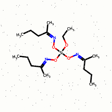 CCCC(C)=NO[Si](OCC)(ON=C(C)CCC)ON=C(C)CCC